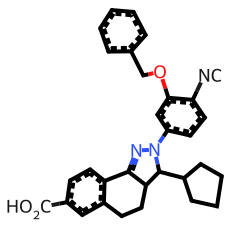 [C-]#[N+]c1ccc(N2N=C3c4ccc(C(=O)O)cc4CCC3C2C2CCCC2)cc1OCc1ccccc1